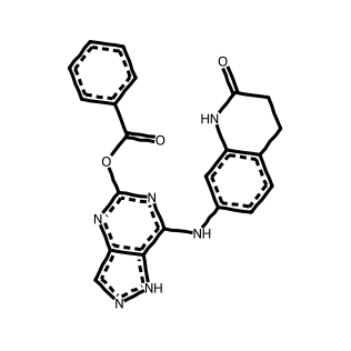 O=C1CCc2ccc(Nc3nc(OC(=O)c4ccccc4)nc4cn[nH]c34)cc2N1